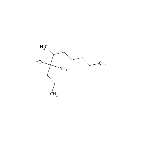 CCCCCC(C)C(N)(O)CCC